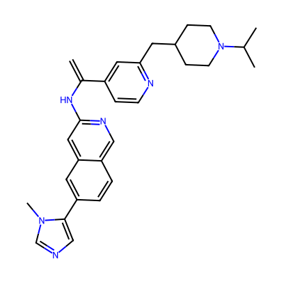 C=C(Nc1cc2cc(-c3cncn3C)ccc2cn1)c1ccnc(CC2CCN(C(C)C)CC2)c1